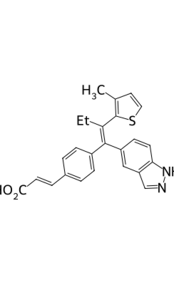 CCC(=C(c1ccc(C=CC(=O)O)cc1)c1ccc2[nH]ncc2c1)c1sccc1C